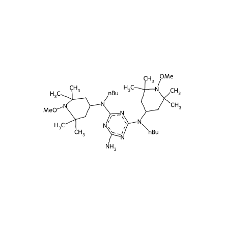 CCCCN(c1nc(N)nc(N(CCCC)C2CC(C)(C)N(OC)C(C)(C)C2)n1)C1CC(C)(C)N(OC)C(C)(C)C1